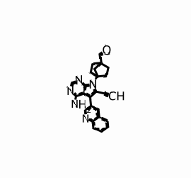 C#Cc1c(-c2cnc3ccccc3c2)c2c(N)ncnc2n1C12CCC(C=O)(CC1)C2